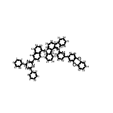 c1ccc(-c2nc(-c3ccccc3)nc(-c3ccc4c(-n5c6ccccc6c6c5ccc5c7ccccc7n(-c7cccc(-c8ccc9c(c8)Oc8ccccc8O9)n7)c56)cccc4c3)n2)cc1